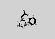 CC(C)=CB1OBOBO1.c1ccncc1